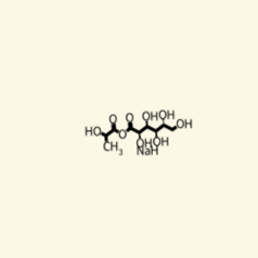 CC(O)C(=O)OC(=O)[C@H](O)[C@@H](O)[C@H](O)[C@H](O)CO.[NaH]